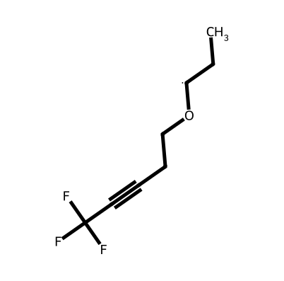 CC[CH]OCCC#CC(F)(F)F